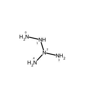 NNN(N)N